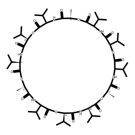 CC(C)C1NC(=O)[C@H](C)OC(=O)[C@@H](C(C)C)NC(=O)[C@@H](C(C)C)OC(=O)C(C(C)C)NC(=O)[C@H](C)OC(=O)[C@@H](C(C)C)NC(=O)[C@@H](C(C)C)OC(=O)C(C(C)C)NC(=O)[C@H](C)OC(=O)C(C(C)C)NC(=O)C(C(C)C)OC1=O